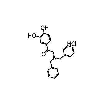 Cl.O=C(CN(Cc1ccccc1)Cc1ccccc1)c1ccc(O)c(O)c1